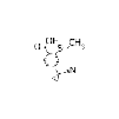 CCSc1cc(C2(C#N)CC2)ccc1C(=O)O